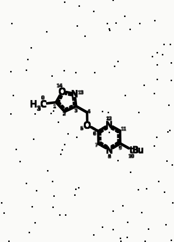 Cc1cc(COc2cnc(C(C)(C)C)cn2)no1